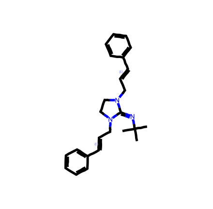 CC(C)(C)N=C1N(C/C=C/c2ccccc2)CCN1C/C=C/c1ccccc1